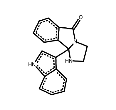 O=C1c2ccccc2C2(c3c[nH]c4ccccc34)NCCN12